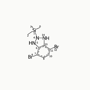 C[Si](C)(C)N1Nc2c(Br)ccc(Br)c2N1